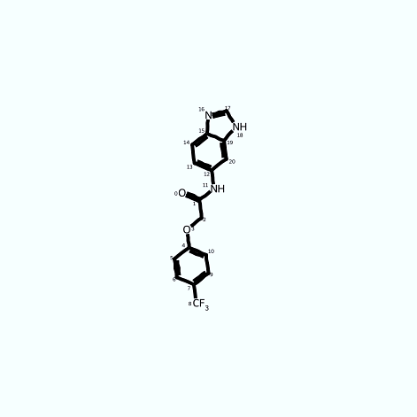 O=C(COc1ccc(C(F)(F)F)cc1)Nc1ccc2nc[nH]c2c1